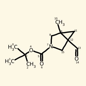 CC(C)(C)OC(=O)N1CC2(C)CC2(C=O)C1